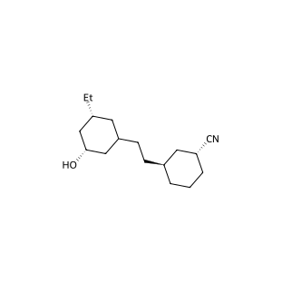 CC[C@@H]1CC(CC[C@@H]2CCC[C@@H](C#N)C2)C[C@H](O)C1